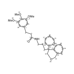 COc1cc(CCC(=O)NCCCC2(c3ccccc3)COCc3ccccc32)cc(OC)c1OC